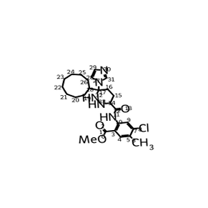 COC(=O)c1cc(C)c(Cl)cc1NC(=O)C1CCC(C2CCCCCCCC2)(n2ccnc2)NN1